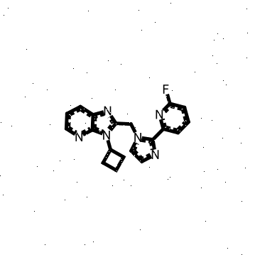 Fc1cccc(-c2nccn2Cc2nc3cccnc3n2C2CCC2)n1